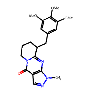 COc1cc(CC2CCCn3c2nc2c(cnn2C)c3=O)cc(OC)c1OC